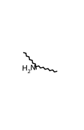 CCCCCCCCCC(C)(N)CCCCCCCC